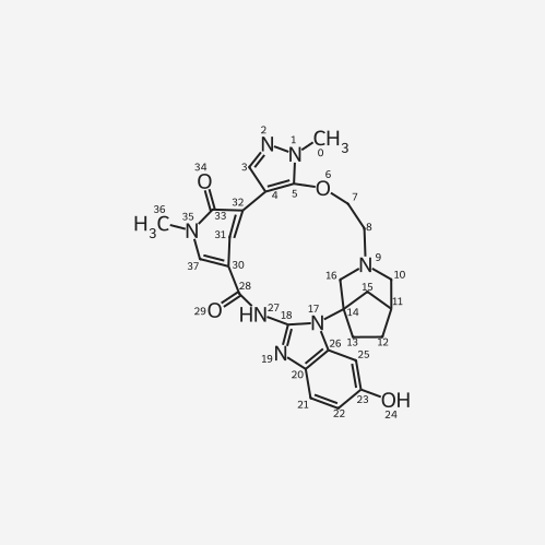 Cn1ncc2c1OCCN1CC3CCC(C3)(C1)n1c(nc3ccc(O)cc31)NC(=O)c1cc-2c(=O)n(C)c1